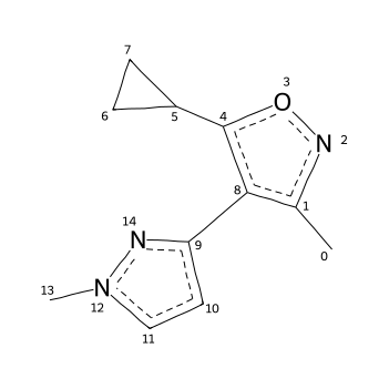 Cc1noc(C2CC2)c1-c1ccn(C)n1